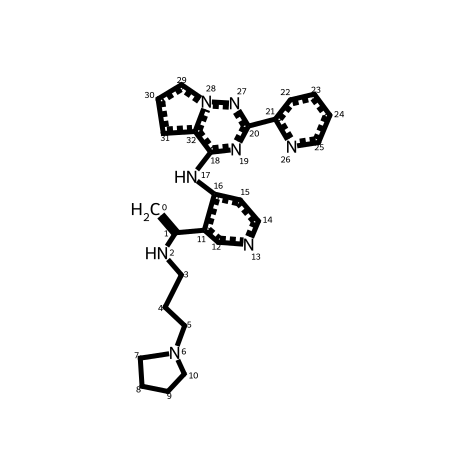 C=C(NCCCN1CCCC1)c1cnccc1Nc1nc(-c2ccccn2)nn2cccc12